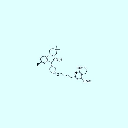 COc1cc(CCCCO[C@@H]2CCN(C(C(=O)O)c3cc(F)ccc3C3CCC(C)(C)CC3)C2)nc2c1CCCN2